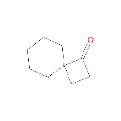 O=C1CCC12CCCCC2